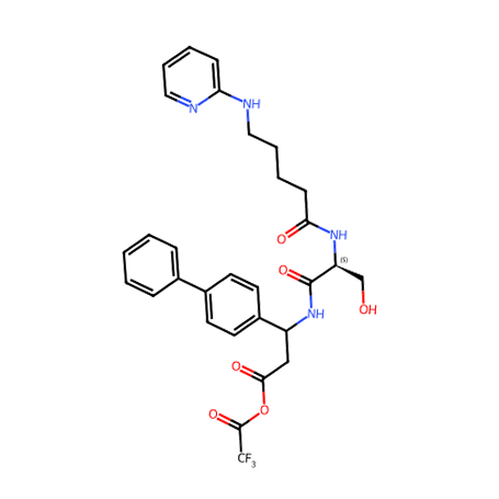 O=C(CCCCNc1ccccn1)N[C@@H](CO)C(=O)NC(CC(=O)OC(=O)C(F)(F)F)c1ccc(-c2ccccc2)cc1